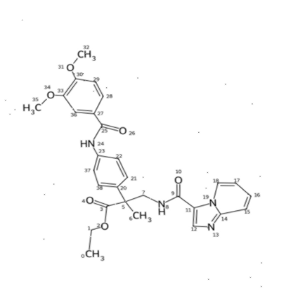 CCOC(=O)C(C)(CNC(=O)c1cnc2ccccn12)c1ccc(NC(=O)c2ccc(OC)c(OC)c2)cc1